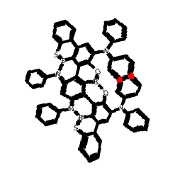 c1ccc(N2B3Sc4ccccc4-c4cc(N(c5ccccc5)c5ccccc5)c5c(c43)-c3c2cc2c4c3B(O5)Oc3c(N(c5ccccc5)c5ccccc5)cc5c(c3-4)B(Sc3ccccc3-5)N2c2ccccc2)cc1